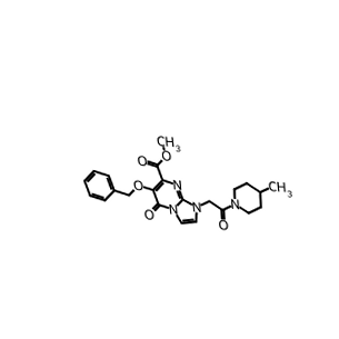 COC(=O)c1nc2n(CC(=O)N3CCC(C)CC3)ccn2c(=O)c1OCc1ccccc1